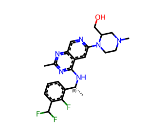 Cc1nc(N[C@H](C)c2cccc(C(F)F)c2F)c2cc(N3CCN(C)CC3CO)ncc2n1